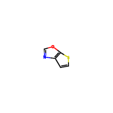 c1nc2ccsc2o1